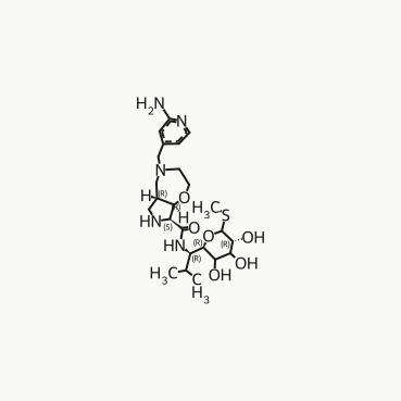 CSC1O[C@H]([C@H](NC(=O)[C@H]2NC[C@@H]3CN(Cc4ccnc(N)c4)CCO[C@H]32)C(C)C)C(O)C(O)[C@H]1O